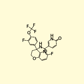 O=C(NC1(c2ccc(OC(F)(F)F)c(F)c2)CCOc2ccc(F)nc21)c1ccc(=O)[nH]c1